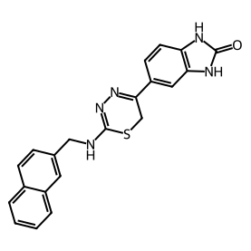 O=c1[nH]c2ccc(C3=NN=C(NCc4ccc5ccccc5c4)SC3)cc2[nH]1